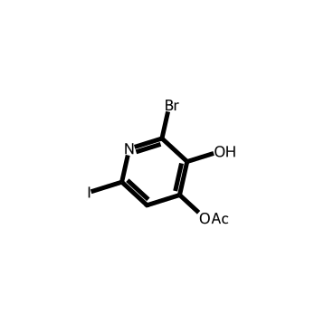 CC(=O)Oc1cc(I)nc(Br)c1O